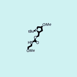 COCCNC(=O)OCC1CC(OC)CN1C(C)(C)C